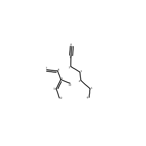 C#CCCCCC.C=CC(C)=CC